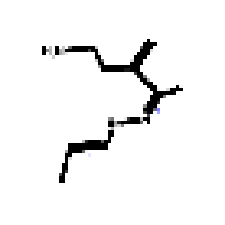 C=C(CCN)/C(C)=N\N/C=C/C